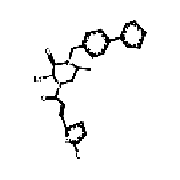 CC[C@H]1C(=O)N(Cc2ccc(-c3ccccc3)cc2)C(C)CN1C(=O)/C=C/c1ccc(Cl)s1